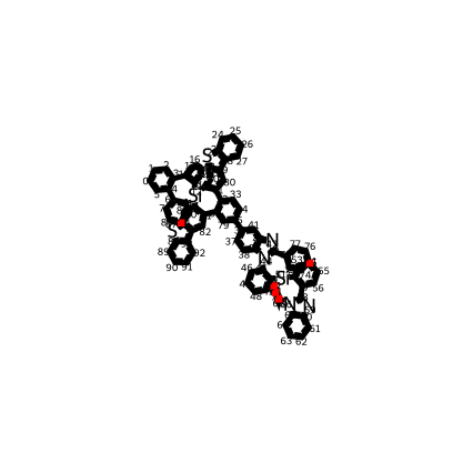 c1ccc2c(c1)-c1ccccc1[Si]1(c3ccccc3-2)c2cc3sc4ccccc4c3cc2-c2ccc(-c3ccc4c(c3)nc3n4-c4ccccc4[Si]4(c5ccccc5-c5nc6ccccc6n5-c5ccccc54)c4ccccc4-3)cc2-c2cc3c(cc21)sc1ccccc13